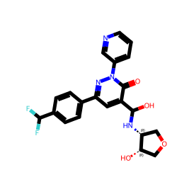 O=c1c(C(O)N[C@@H]2COC[C@@H]2O)cc(-c2ccc(C(F)F)cc2)nn1-c1cccnc1